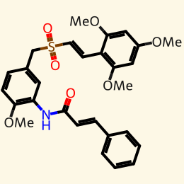 COc1cc(OC)c(C=CS(=O)(=O)Cc2ccc(OC)c(NC(=O)C=Cc3ccccc3)c2)c(OC)c1